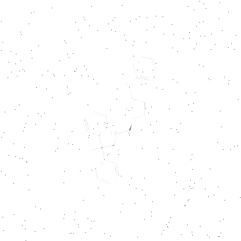 C[C@H](c1ccccc1)N1CC[C@@H](CNC(=O)C(O)(c2ccccc2)c2ccccc2)C1